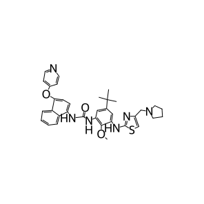 COc1c(NC(=O)Nc2ccc(Oc3ccncc3)c3ccccc23)cc(C(C)(C)C)cc1Nc1nc(CN2CCCC2)cs1